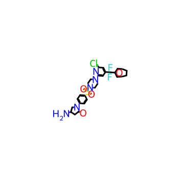 NC1CC(=O)N(c2ccc(S(=O)(=O)N3CCN(c4cc(C(F)(F)C5CC6CCC(C5)O6)cc(Cl)n4)CC3)cc2)C1